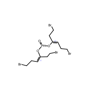 O=[PH](O/C(=C\CCBr)CCBr)O/C(=C\CCBr)CCBr